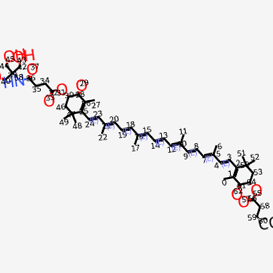 CC1=C(/C=C/C(C)=C/C=C/C(C)=C/C=C/C=C(C)/C=C/C=C(C)/C=C/C2=C(C)C(=O)C(OC(=O)CCC(=O)NC(CO)(CO)CO)CC2(C)C)C(C)(C)CC(OC(=O)CCC(=O)O)C1=O